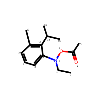 CCN(OC(C)=O)c1cccc(C)c1C(C)C